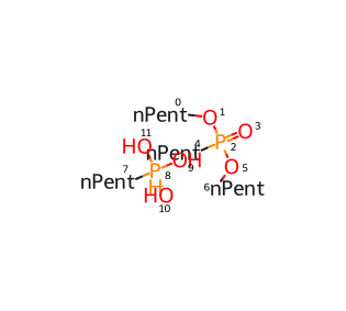 CCCCCOP(=O)(CCCCC)OCCCCC.CCCCC[PH](O)(O)O